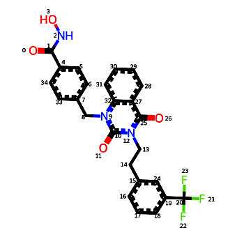 O=C(NO)c1ccc(Cn2c(=O)n(CCc3cccc(C(F)(F)F)c3)c(=O)c3ccccc32)cc1